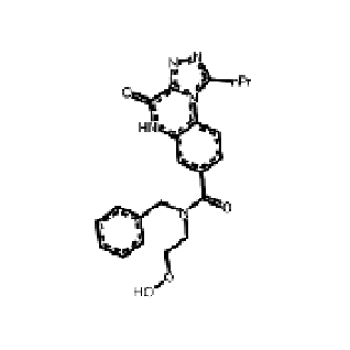 CCCc1nnc2c(=O)[nH]c3cc(C(=O)N(CCOO)Cc4ccccc4)ccc3n12